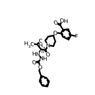 CC(C)[C@H](NNC(=O)OCc1ccccc1)C(=O)N1CCC(Oc2ccc(F)cc2C(=O)O)CC1